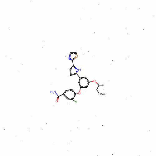 COC[C@H](C)Oc1cc(Oc2ccc(C(N)=O)cc2F)cc(-c2ccc(-c3nccs3)[nH]2)c1